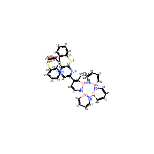 CC(C)(C)C1=C(c2cnc3c(n2)Sc2ccccc2[Si]32c3ccccc3Sc3ccccc32)C=CN2B3C=CC=CN3B3C=CC=CN3B3C=CC=CN3B12